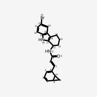 O=C(/C=C/C1=CC=CC2CC12)NC1CCCc2c1[nH]c1ccc(Br)cc21